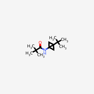 CC(C)(C)C(=O)NC12CC1(C(C)(C)C)C2